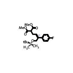 COC(=O)C(C/C=C(\CO[Si](C)(C)C(C)(C)C)c1ccc(F)cc1)C(=O)OC